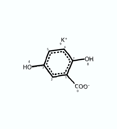 O=C([O-])c1cc(O)ccc1O.[K+]